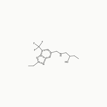 CCc1nc2cc(CNCC(O)CC)cc(C(F)(F)F)c2o1